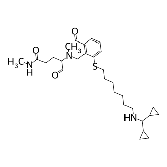 CNC(=O)CCC(C=O)N(C)Cc1c(C=O)cccc1SCCCCCCCNC(C1CC1)C1CC1